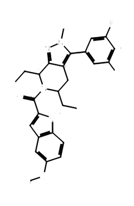 CCC1Cc2c(nn(C)c2-c2cc(F)cc(F)c2)C(CC)N1C(=O)c1cc2cc(OC)ccc2o1